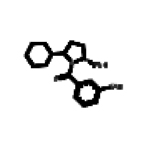 COc1cccc(C(=O)N2C(C3CCCCC3)CC[C@H]2C(=O)O)c1